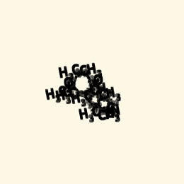 COC(=O)[C@@]1(C)CCC(C)(C)CCC2C(=O)C=C3[C@@]4(C)Cc5cnoc5C(C)(C)C4CC[C@@]3(C)[C@]2(C)CC1